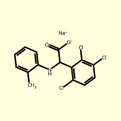 Cc1ccccc1NC(C(=O)[O-])c1c(Cl)ccc(Cl)c1Cl.[Na+]